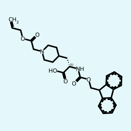 C=CCOC(=O)CN1CCC(C[C@H](NC(=O)OCC2c3ccccc3-c3ccccc32)C(=O)O)CC1